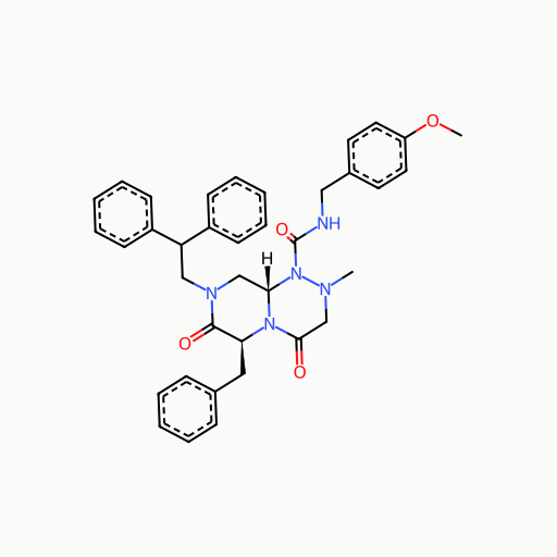 COc1ccc(CNC(=O)N2[C@H]3CN(CC(c4ccccc4)c4ccccc4)C(=O)[C@H](Cc4ccccc4)N3C(=O)CN2C)cc1